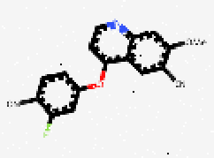 COc1cc2nccc(Oc3ccc(N=O)c(F)c3)c2cc1C#N